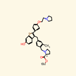 Cc1cc(Cc2c(-c3ccc(OCCN4CCCC4)cc3)sc3cc(O)ccc23)ccc1CN1CCC[C@H]1C(=O)OC(C)(C)C